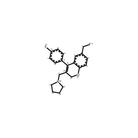 FCc1ccc2c(c1)C(c1ccc(F)cc1)=C(CN1CCCC1)CO2